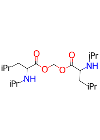 CC(C)CC(NC(C)C)C(=O)OCOC(=O)C(CC(C)C)NC(C)C